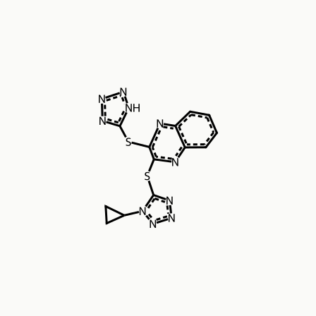 c1ccc2nc(Sc3nnnn3C3CC3)c(Sc3nnn[nH]3)nc2c1